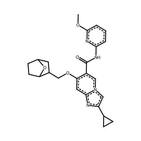 COc1cccc(NC(=O)c2cn3cc(C4CC4)nc3cc2OCC2CC3CCC2O3)n1